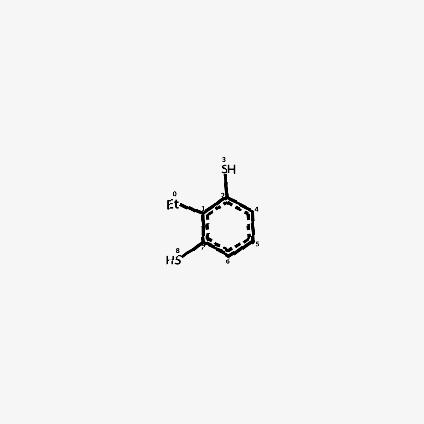 CCc1c(S)cccc1S